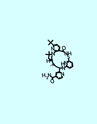 C[C@H]1CC(c2cc(C(N)=O)ccn2)Nc2cccc(n2)SNC(=O)c2ccc(C(C)(C)C)nc2N2C[C@@H]1CC2(C)C